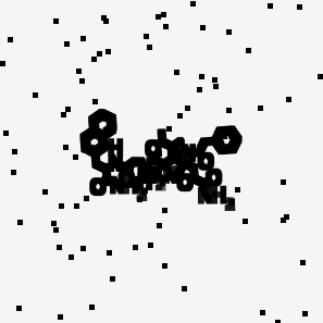 CCC(C)C(C(=O)C(=O)NCC(=O)NC(Cc1ccc2ccccc2c1)C(N)=O)C(CCC(N)=O)(NC(=O)Cc1ccccc1)C(N)=O